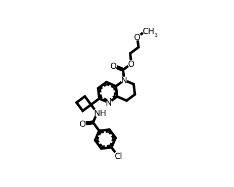 COCCOC(=O)N1CCCc2nc(C3(NC(=O)c4ccc(Cl)cc4)CCC3)ccc21